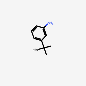 CC(C)(C)C(C)(C)c1cccc(N)c1